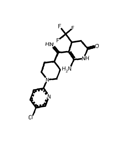 N=C(C1=C(N)NC(=O)CC1C(F)(F)F)C1CCN(c2ccc(Cl)cn2)CC1